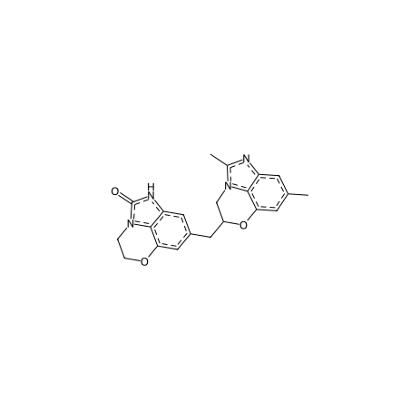 Cc1cc2c3c(c1)nc(C)n3CC(Cc1cc3c4c(c1)[nH]c(=O)n4CCO3)O2